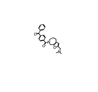 CN(C)Cc1cc2c(o1)CN(C(=O)c1ccc(C(=O)c3ccccc3)cc1)CCC2